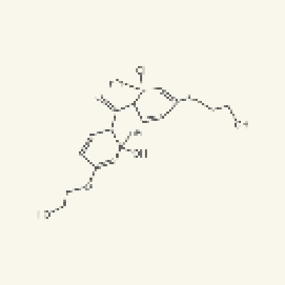 CCCC1(O)C=C(OCCO)C=CC1C(=O)C1C=CC(OCCO)=CC1(O)CCC